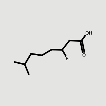 CC(C)CCCC(Br)CC(=O)O